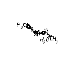 CN(C)CCNc1ccc(-c2nc3sc(N=Nc4ccc(C(F)(F)F)cc4)cc3s2)cc1